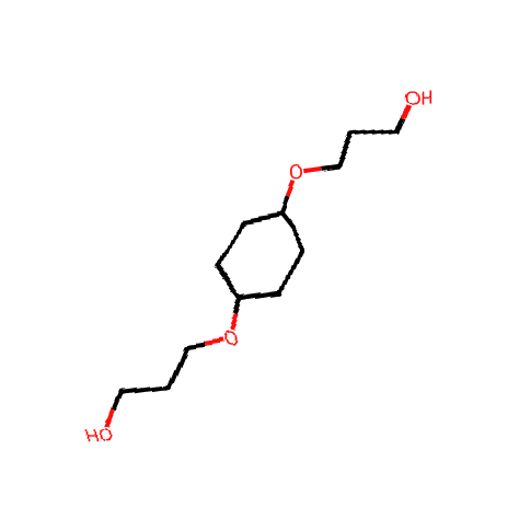 OCCCOC1CCC(OCCCO)CC1